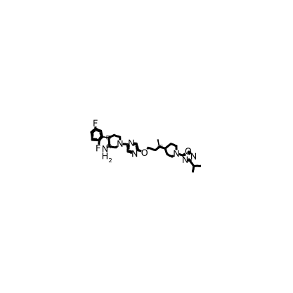 CC(C)c1noc(N2CCC([C@H](C)CCOc3cnc(N4CC[C@H](c5cc(F)ccc5F)[C@@H](N)C4)cn3)CC2)n1